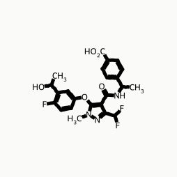 CC(O)c1cc(Oc2c(C(=O)NC(C)c3ccc(C(=O)O)cc3)c(C(F)F)nn2C)ccc1F